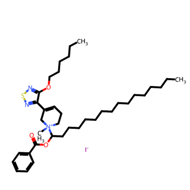 CCCCCCCCCCCCCCCC(OC(=O)c1ccccc1)[N+]1(C)CCC=C(c2nsnc2OCCCCCC)C1.[I-]